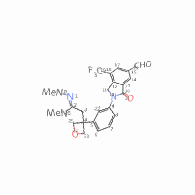 CN/N=C(/CC1(c2cccc(N3Cc4c(cc(C=O)cc4C(F)(F)F)C3=O)c2)COC1)NC